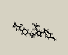 N#Cc1cnn2c(-c3cc(NC4COC4)c(-c4nnc([C@H]5CC[C@@H](NC(=O)C6CC6)CC5)s4)cn3)ccc2c1